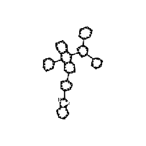 c1ccc(-c2cc(-c3ccccc3)cc(-c3c4ccccc4c(-c4ccccc4)c4cc(-c5ccc(-c6nc7ccccc7s6)cc5)ccc34)c2)cc1